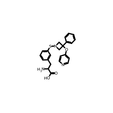 NC(Cc1cccc(SN2CC(Oc3ccncc3)(c3ccccc3)C2)c1)C(=O)O